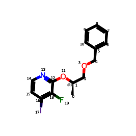 C[C@H](COCc1ccccc1)Oc1nccc(I)c1F